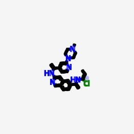 C=C(N/C(Cl)=C\C)c1ccc2cnc(NC(=C)c3ccnc(N4CCN(C)CC4)c3)cc2c1